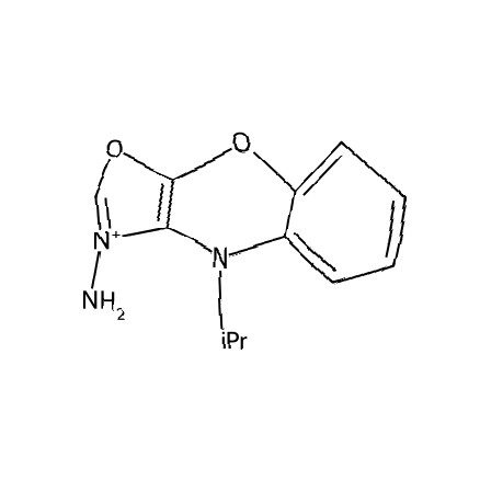 CC(C)N1c2ccccc2Oc2oc[n+](N)c21